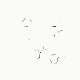 COc1cc2c(cc1OC)CC(=O)N(CCCN(C)C[C@H]1Cc3cc(OC)c(OC)cc31)C(=O)C2.O=C(O)C(=O)O